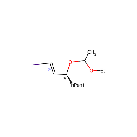 CCCCC[C@@H](/C=C/I)OC(C)OCC